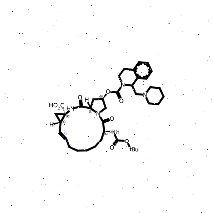 CC(C)(C)OC(=O)N[C@H]1CCCCC/C=C/[C@@H]2C[C@@]2(C(=O)O)NC(=O)[C@@H]2C[C@@H](OC(=O)N3CCc4ccccc4C3CN3CCCCC3)CN2C1=O